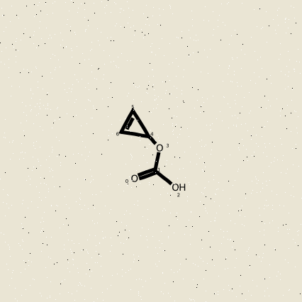 O=C(O)OC1C=C1